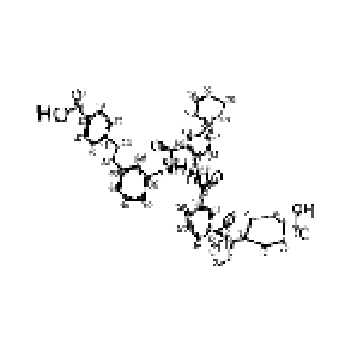 CCN([C@H]1CC[C@H](C(=O)O)CC1)S(=O)(=O)c1cccc(C(=O)Nc2ccc(N3CCCCC3)cc2C(=O)Nc2cccc(CCc3ccc(C(=O)O)cc3)c2)c1